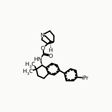 CC(C)c1ccc(-c2ccc3c(c2)CCC(C)(C)[C@H]3NC(=O)O[C@H]2CN3CCC2CC3)cc1